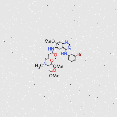 COC(=O)CC(C(=O)OC)N(C)C/C=C/C(=O)Nc1cc2c(Nc3cccc(Br)c3)ncnc2cc1OC